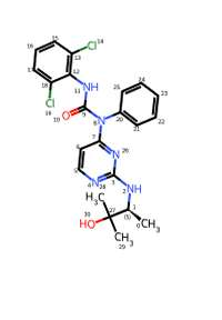 C[C@H](Nc1nccc(N(C(=O)Nc2c(Cl)cccc2Cl)c2ccccc2)n1)C(C)(C)O